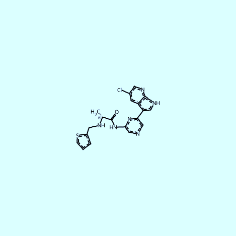 C[C@@H](NCc1cccs1)C(=O)Nc1cncc(-c2c[nH]c3ncc(Cl)cc23)n1